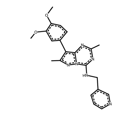 COc1ccc(-c2c(C)nn3c(NCc4cccnc4)nc(C)nc23)cc1OC